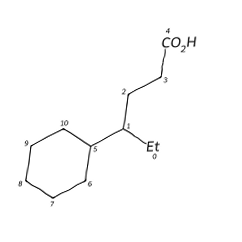 CCC(CCC(=O)O)C1CCCCC1